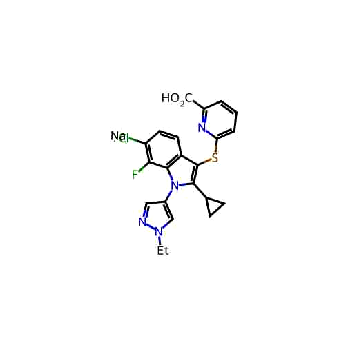 CCn1cc(-n2c(C3CC3)c(Sc3cccc(C(=O)O)n3)c3ccc(Cl)c(F)c32)cn1.[Na]